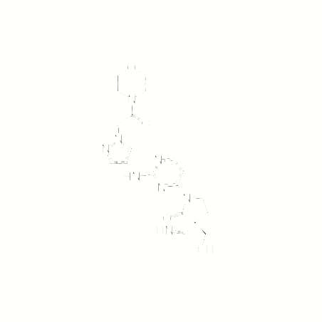 CC[C@]1(C=N)CCN(c2ccnc(Nc3cnn(CC(=O)N4CCOCC4)c3)n2)C1=O